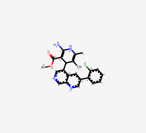 CC1=C(C#N)C(c2cncc3ncc(-c4ccccc4F)cc23)C(C(=O)OC(C)C)=C(N)N1